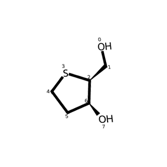 OC[C@@H]1S[CH]C[C@@H]1O